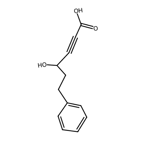 O=C(O)C#CC(O)CCc1ccccc1